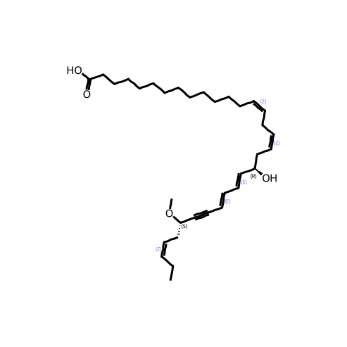 CC/C=C\C[C@@H](C#C/C=C/C=C/[C@H](O)C/C=C\C/C=C\CCCCCCCCCCCCC(=O)O)OC